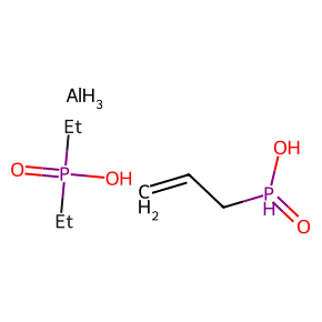 C=CC[PH](=O)O.CCP(=O)(O)CC.[AlH3]